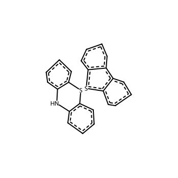 c1ccc2c(c1)Nc1ccccc1S2.c1ccc2c(c1)sc1ccccc12